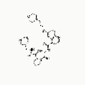 O=C(NCC(=O)N1CCCC1C(O)C(=O)NCc1cccnc1)c1ccnc2ccc(OCCCN3CCOCC3)cc12